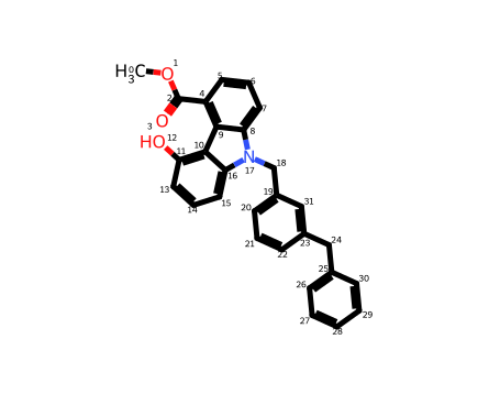 COC(=O)c1cccc2c1c1c(O)cccc1n2Cc1cccc(Cc2ccccc2)c1